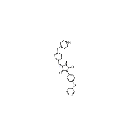 O=C1N/C(=C\c2ccc(CN3CCNCC3)cc2)C(=O)N1c1ccc(Oc2ccccc2)cc1